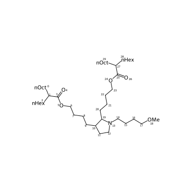 CCCCCCCCC(CCCCCC)C(=O)OCCCCC1CCN(CCCCOC)C1CCCCOC(=O)C(CCCCCC)CCCCCCCC